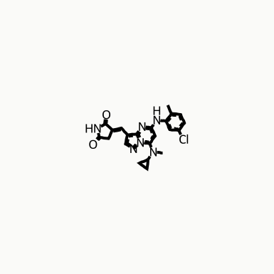 Cc1ccc(Cl)cc1Nc1cc(N(C)C2CC2)n2ncc(/C=C3\CC(=O)NC3=O)c2n1